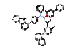 CC1C=CC(c2cccc3ccccc23)=CC1c1cccc(N(c2ccc(-c3cccc4c3C(C)(C)c3ccccc3-4)cc2)c2ccccc2-c2cccc(-c3ccccc3)c2)c1